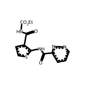 CCOC(=O)NC(=O)c1ccsc1NC(=O)c1cccnn1